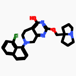 Oc1nc(OCC23CCCN2CCC3)nc2c1CCN(c1cccc3cccc(Cl)c13)C2